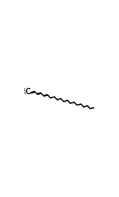 C=CC=CC=CCCCCCCCCCCCCCC.[C]